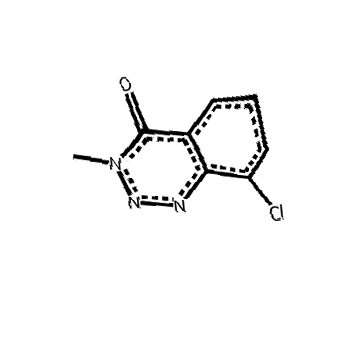 Cn1nnc2c(Cl)cccc2c1=O